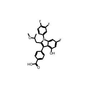 COC(C)Cc1c(-c2ccc(C(=O)O)cc2)c2c(O)cc(F)cc2n1-c1ccc(F)c(F)c1